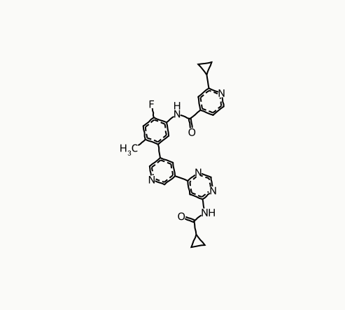 Cc1cc(F)c(NC(=O)c2ccnc(C3CC3)c2)cc1-c1cncc(-c2cc(NC(=O)C3CC3)ncn2)c1